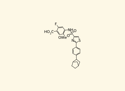 COc1cc(C(=O)O)c(F)cc1NS(=O)(=O)c1csc(-c2ccc(C3CC4CCC3C4)cc2)n1